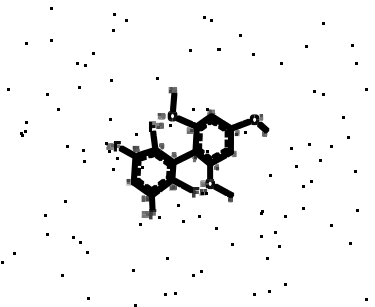 COc1cc(OC)c(-c2c(F)c(F)cc(F)c2F)c(OC)c1